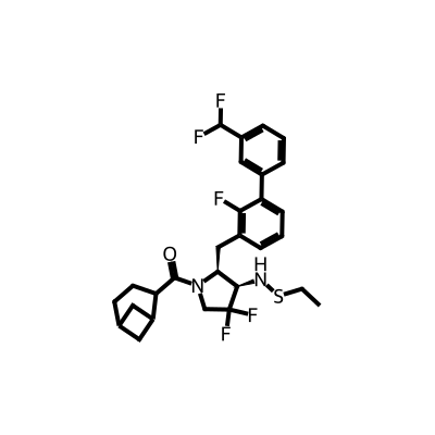 CCSN[C@@H]1[C@H](Cc2cccc(-c3cccc(C(F)F)c3)c2F)N(C(=O)C2CCC3CC2C3)CC1(F)F